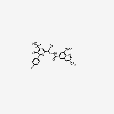 COc1cc(C(=O)NCC(c2cc(C(C)(C)O)c(Cl)c(-c3ccc(F)cc3)n2)C2CC2)cc2cc(C(F)(F)F)cnc12